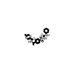 Cc1cnc(C(=O)NC(C)c2ccc(S(=O)(=O)NC(=O)NC3CCCCC3)cc2)cn1